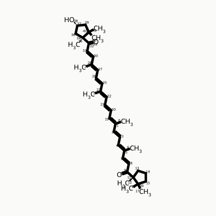 CC(/C=C/C=C(C)/C=C/C(=O)[C@]1(C)CCCC1(C)C)=C\C=C\C=C(C)\C=C\C=C(C)\C=C\C(=O)[C@@]1(C)C[C@H](O)CC1(C)C